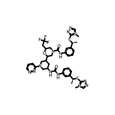 C[C@H](Sc1nncn1C)c1cccc(NC(=O)NC2CC(C3CN(C(=O)Nc4cccc([C@H](C)Sc5nncn5C)c4)CC(CC(F)(F)F)O3)CN(c3cccnn3)C2)c1